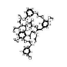 CCCN(CCC)C(Cc1ccc(OC)c(OCCc2cccc(Cl)c2)c1)OC(=O)C(=O)OC(Cc1ccc(OC)c(OCCc2cccc(Cl)c2)c1)N(CCC)CCC